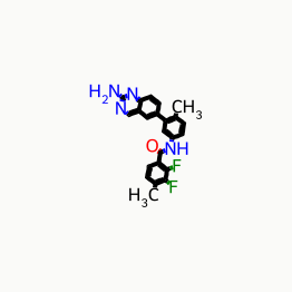 Cc1ccc(NC(=O)c2ccc(C)c(F)c2F)cc1-c1ccc2nc(N)ncc2c1